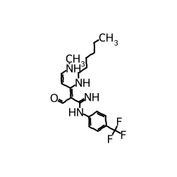 CCCCCCNC(/C=C\NC)=C(/C=O)C(=N)Nc1ccc(C(F)(F)F)cc1